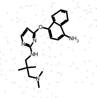 CN(C)CC(C)(C)CNc1nccc(Oc2ccc(N)c3ccccc23)n1